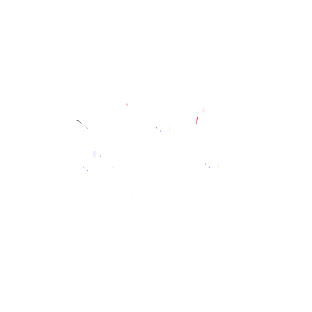 CC(O)(C(=O)N[C@@H](Cc1ccccc1)C(O)CNC[C@@H](O)[C@H](Cc1ccccc1)NC(=O)O)c1ccccn1